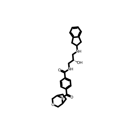 O=C(NC[C@@H](O)CNC1Cc2ccccc2C1)c1ccc(C(=O)N2C3CCC2COC3)cc1